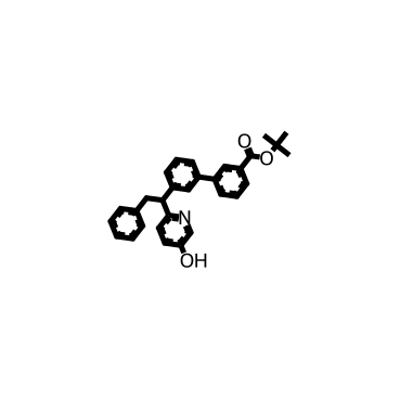 CC(C)(C)OC(=O)c1cccc(-c2cccc(C(Cc3ccccc3)c3ccc(O)cn3)c2)c1